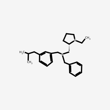 CCN1CCC[C@H]1CN(Cc1ccccc1)Cc1cccc(CC(C)C)c1